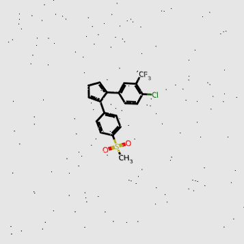 CS(=O)(=O)c1ccc(C2=CCC=C2c2ccc(Cl)c(C(F)(F)F)c2)cc1